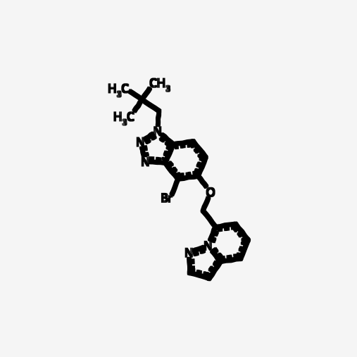 CC(C)(C)Cn1nnc2c(Br)c(OCc3cccc4ccnn34)ccc21